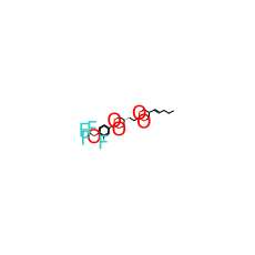 CCC/C=C/C1COC(CC[C@H]2CO[C@H](c3ccc(OC(F)(F)F)c(F)c3)OC2)OC1